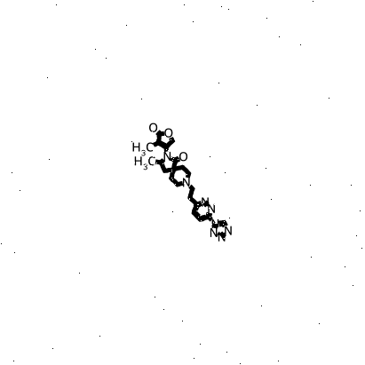 CC1=C(N2C(=O)C3(CCN(CCc4ccc(-n5cnnn5)nn4)CC3)CC2C)COC1=O